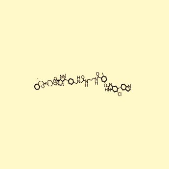 Cc1ccc(Oc2nc3cc(-c4ccc5c(ccn5C)c4)c(Cl)cc3[nH]2)cc1C(=O)NCCCNC(=O)CNCc1ccc(-c2c3ncn(CC4(O)CCN(C(=O)C[C@@H](C)c5ccccc5)CC4)c(=O)c3nn2C)cc1